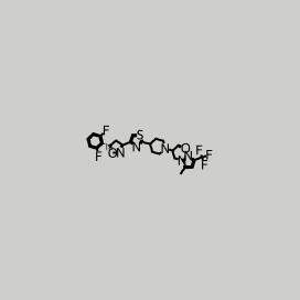 Cc1cc(C(F)(F)F)nn1CC(C=O)N1CCC(c2nc(C3=NO[C@H](c4c(F)cccc4F)C3)cs2)CC1